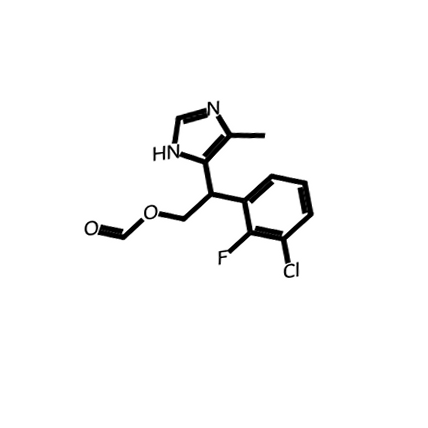 Cc1nc[nH]c1C(COC=O)c1cccc(Cl)c1F